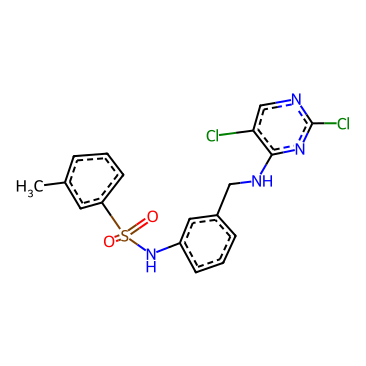 Cc1cccc(S(=O)(=O)Nc2cccc(CNc3nc(Cl)ncc3Cl)c2)c1